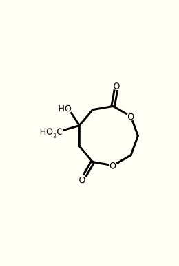 O=C1CC(O)(C(=O)O)CC(=O)OCCO1